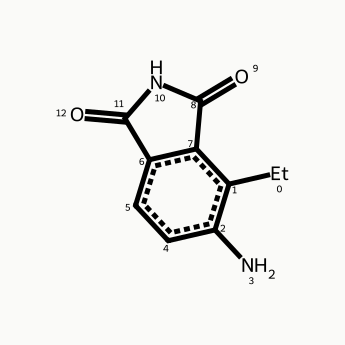 CCc1c(N)ccc2c1C(=O)NC2=O